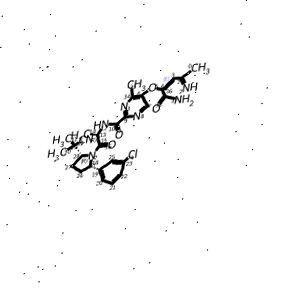 CC(=N)/C=C(/Oc1cnc(C(=O)N[C@H](C)C(=O)N2[C@H](c3cccc(Cl)c3)CC[C@@H]2C(C)(C)C#N)nc1C)C(N)=O